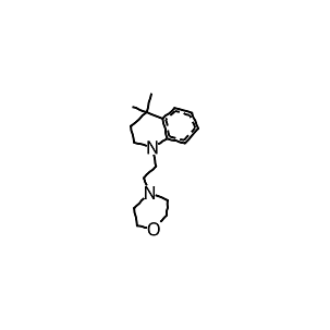 CC1(C)CCN(CCN2CCOCC2)c2ccccc21